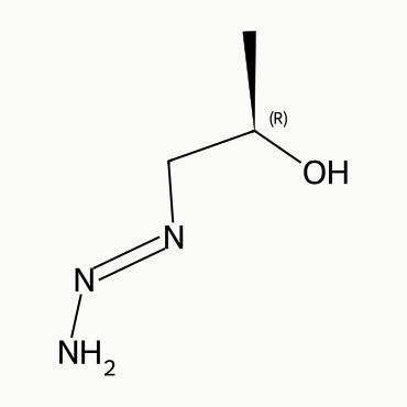 C[C@@H](O)CN=NN